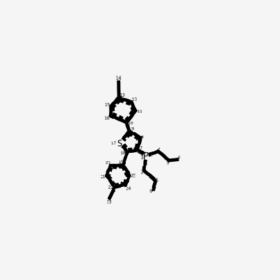 CCCP(CCC)c1cc(-c2ccc(C)cc2)sc1-c1ccc(C)cc1